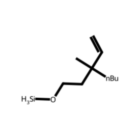 C=CC(C)(CCCC)CCO[SiH3]